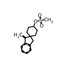 C=C1c2ccccc2CC12CCC(OS(C)(=O)=O)CC2